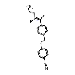 CCC/C(F)=C(\F)c1ccc(CCc2ccc(C#N)cc2)cc1